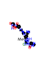 COc1cc(N2CCN(C3CN(c4ccc5c(c4)C(=O)N(C4CCC(=O)NC4=O)C5=O)C3)CC2)c(-c2cnn(C)c2)cc1Nc1ncc(Cl)c(Nc2ccc3nccnc3c2P(C)(C)=O)n1